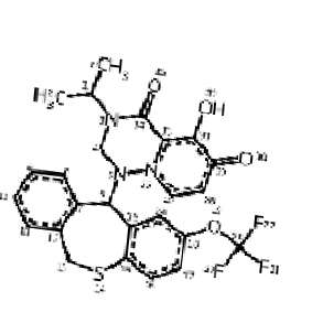 CC(C)N1CN(C2c3ccccc3CSc3ccc(OC(F)(F)F)cc32)n2ccc(=O)c(O)c2C1=O